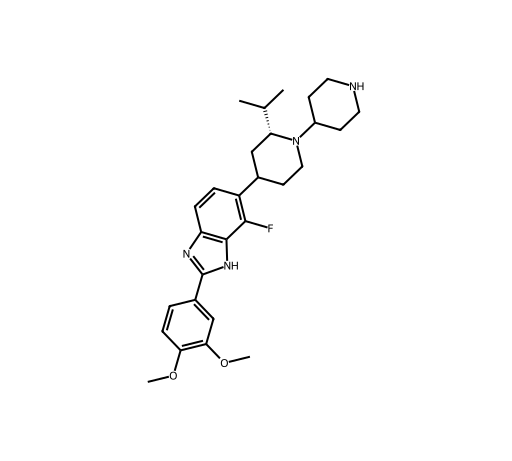 COc1ccc(-c2nc3ccc(C4CCN(C5CCNCC5)[C@@H](C(C)C)C4)c(F)c3[nH]2)cc1OC